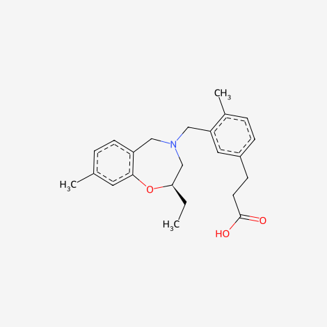 CC[C@@H]1CN(Cc2cc(CCC(=O)O)ccc2C)Cc2ccc(C)cc2O1